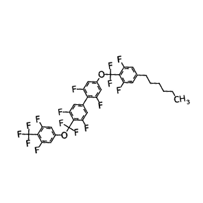 CCCCCCc1cc(F)c(C(F)(F)Oc2cc(F)c(-c3cc(F)c(C(F)(F)Oc4cc(F)c(C(F)(F)F)c(F)c4)c(F)c3)c(F)c2)c(F)c1